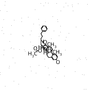 CC(=O)OCC(=O)[C@@]12ON(CCCc3ccccc3)C[C@@H]1C[C@H]1[C@@H]3CCC4=CC(=O)C=C[C@]4(C)C3=CC[C@@]12C